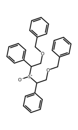 [O-][S+](C(COCc1ccccc1)c1ccccc1)C(COCc1ccccc1)c1ccccc1